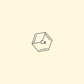 c1c[c]2c[c](c1)[Ca]2